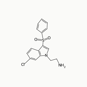 NCCn1cc(S(=O)(=O)c2ccccc2)c2ccc(Cl)cc21